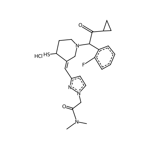 CN(C)C(=O)Cn1ccc(/C=C2\CN(C(C(=O)C3CC3)c3ccccc3F)CCC2S)n1.Cl